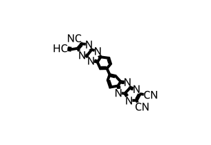 C#Cc1nc2nc3cc(-c4ccc5nc6nc(C#N)c(C#N)nc6nc5c4)ccc3nc2nc1C#N